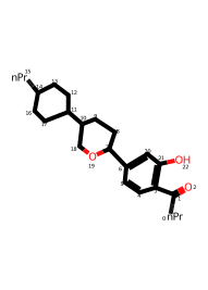 CCCC(=O)c1ccc(C2CCC(C3CCC(CCC)CC3)CO2)cc1O